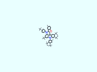 Cc1ccc2oc3c(c2c1)N(c1ccc(C(C)(C)C)cc1)c1cc(C(C)(C)C)cc2c1B3c1cc3c(cc1N2c1cc2c(cc1C)C(C)(C)CCC2(C)C)C(C)(C)CCC3(C)C